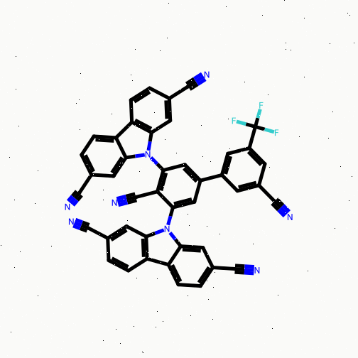 N#Cc1cc(-c2cc(-n3c4cc(C#N)ccc4c4ccc(C#N)cc43)c(C#N)c(-n3c4cc(C#N)ccc4c4ccc(C#N)cc43)c2)cc(C(F)(F)F)c1